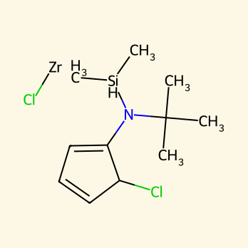 C[SiH](C)N(C1=CC=CC1Cl)C(C)(C)C.[Cl][Zr]